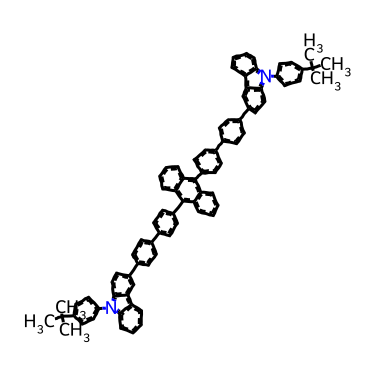 CC(C)(C)c1ccc(-n2c3ccccc3c3cc(-c4ccc(-c5ccc(-c6c7ccccc7c(-c7ccc(-c8ccc(-c9ccc%10c(c9)c9ccccc9n%10-c9ccc(C(C)(C)C)cc9)cc8)cc7)c7ccccc67)cc5)cc4)ccc32)cc1